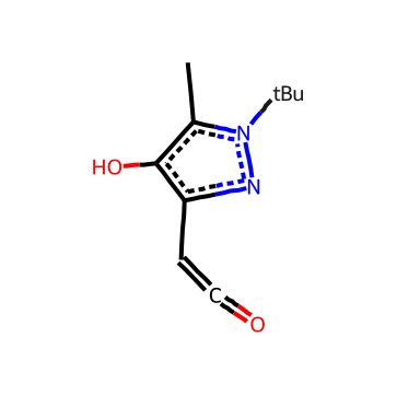 Cc1c(O)c(C=C=O)nn1C(C)(C)C